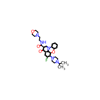 CC(C)N1CCN(c2c(F)cc3c(=O)c(C(=O)NCCN4CCOCC4)cn4c3c2Oc2ccccc2-4)CC1